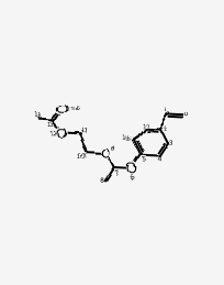 C=Cc1ccc(OC(C)OCCOC(C)=O)cc1